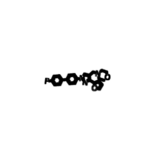 Fc1ccc(-c2ccc(-n3cc(CN4CCOCC4)c(-c4ccco4)n3)cc2)cc1